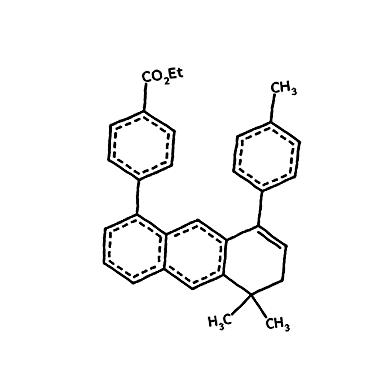 CCOC(=O)c1ccc(-c2cccc3cc4c(cc23)C(c2ccc(C)cc2)=CCC4(C)C)cc1